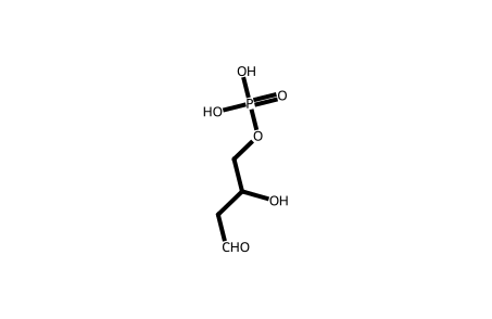 O=CCC(O)COP(=O)(O)O